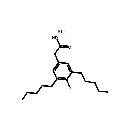 CCCCCc1cc(CC(=O)O)cc(CCCCC)c1F.[NaH]